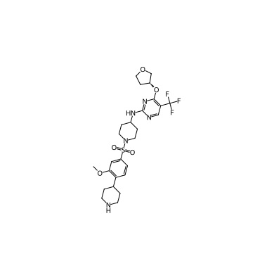 COc1cc(S(=O)(=O)N2CCC(Nc3ncc(C(F)(F)F)c(O[C@H]4CCOC4)n3)CC2)ccc1C1CCNCC1